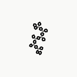 c1ccc(N(c2ccc(N(c3ccccc3)c3ccc(N(c4ccccc4)c4ccc(N(c5ccccc5)c5cccc6ccccc56)cc4)cc3)cc2)c2ccc(N(c3ccccc3)c3ccc(N(c4ccccc4)c4cccc5ccccc45)cc3)cc2)cc1